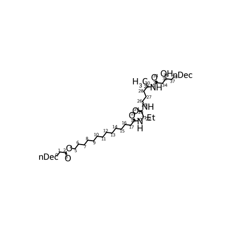 CCCCCCCCCCCC(=O)OCCCCCCCCCCCCCC(=O)N[C@@H](CC)C(=O)NCCC[C@@H](C)NC(=O)C[C@H](O)CCCCCCCCCCC